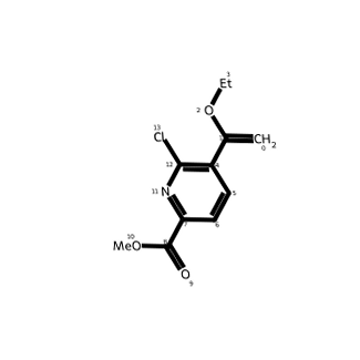 C=C(OCC)c1ccc(C(=O)OC)nc1Cl